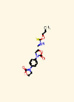 CCCOC(=S)NC[C@H]1CN(c2ccc(N3CCOC3=O)cc2)C(=O)O1